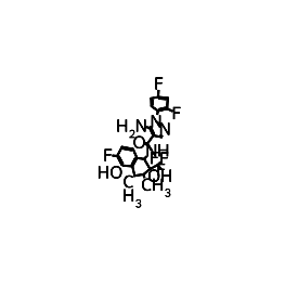 CC1c2c(ccc(F)c2O)C(NC(=O)c2cnn(-c3ccc(F)cc3F)c2N)C(O)(C(F)(F)F)C1C